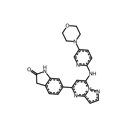 O=C1Cc2ccc(-c3cc(Nc4ccc(N5CCOCC5)cn4)n4nccc4n3)cc2N1